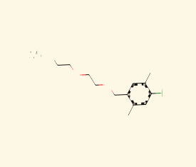 COCCOCCOCc1cc(C)c(F)cc1C